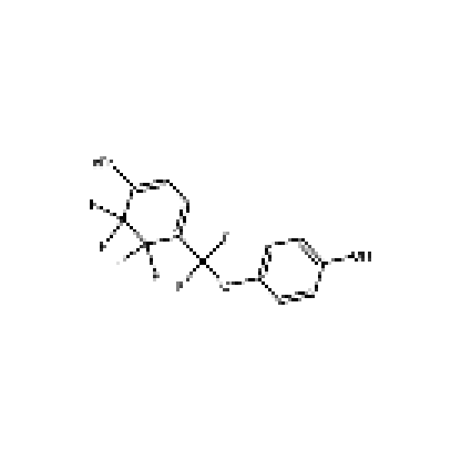 CCCC1=CC=C(C(F)(F)Oc2ccc(O)cc2)C(F)(F)C1(F)F